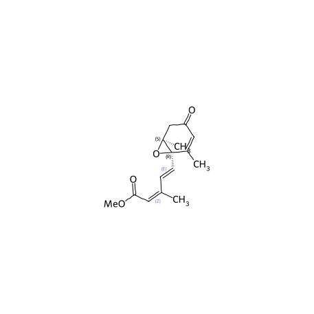 COC(=O)/C=C(C)\C=C\[C@]12O[C@@]1(C)CC(=O)C=C2C